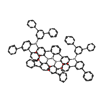 c1ccc(-c2cc(-c3ccccc3)cc(N(c3cc4c5c(c3)-n3c6ccccc6c6cccc(c63)B5N3B5c6c(cc(N(c7cc(-c8ccccc8)cc(-c8ccccc8)c7)c7ccc(-c8ccccc8)cc7-c7ccccc7)cc6-n6c7ccccc7c7cccc5c76)-c5cccc-4c53)c3ccc(-c4ccccc4)cc3-c3ccccc3)c2)cc1